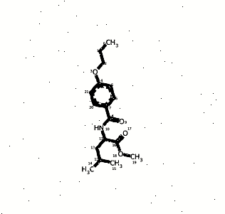 CCCOc1ccc(C(=O)NC(CC(C)C)C(=O)OC)cc1